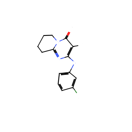 CCOC(=O)c1c(Nc2cccc(Cl)c2)nc2n(c1=O)CCCC2